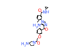 Cc1ccc(C(=O)NC2CC2)cc1-n1cnc(C(=O)c2cccc(OCC(=O)N3CCC(N)C3)c2)c1N